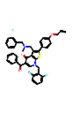 C=CCOc1ccc(-c2sc3c(c2CN(C)Cc2ccccc2)c(=O)c(C(=O)c2ccccc2)cn3Cc2c(F)cccc2F)cc1.Cl